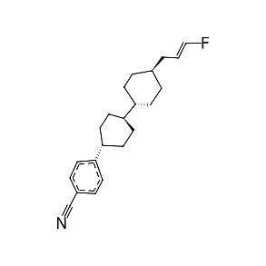 N#Cc1ccc([C@H]2CC[C@H]([C@H]3CC[C@H](C/C=C/F)CC3)CC2)cc1